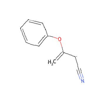 C=C([CH]C#N)Oc1ccccc1